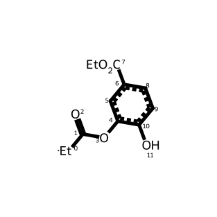 C[CH]C(=O)Oc1cc(C(=O)OCC)ccc1O